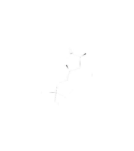 CC1(C)OC[C@@H]([C@H]2OC(=O)[C@@H](O)[C@@H]2O)O1